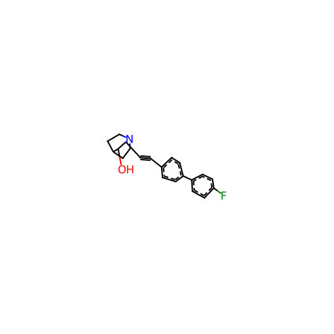 OC1C2CCN(CC2)C1C#Cc1ccc(-c2ccc(F)cc2)cc1